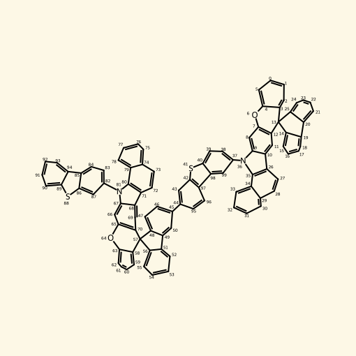 c1ccc2c(c1)Oc1cc3c(cc1C21c2ccccc2-c2ccccc21)c1ccc2ccccc2c1n3-c1ccc2sc3cc(-c4ccc5c(c4)-c4ccccc4C54c5ccccc5Oc5cc6c(cc54)c4ccc5ccccc5c4n6-c4ccc5c(c4)sc4ccccc45)ccc3c2c1